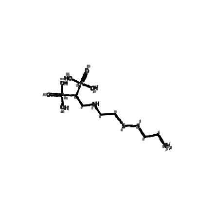 NCCSSCCNCC(P(=O)(O)O)P(=O)(O)O